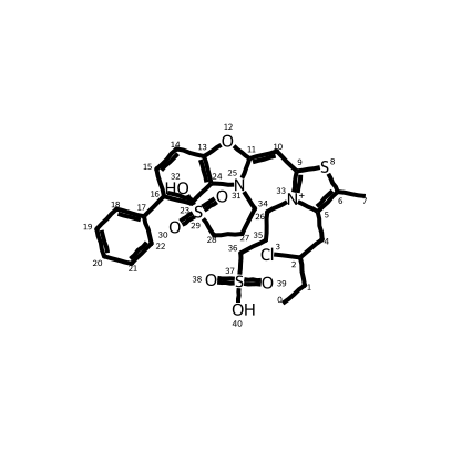 CCC(Cl)Cc1c(C)sc(C=C2Oc3ccc(-c4ccccc4)cc3N2CCCS(=O)(=O)O)[n+]1CCCS(=O)(=O)O